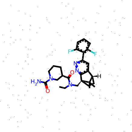 CCN(C[C@@]12CC[C@@H](c3cc(-c4c(F)cccc4F)nnc31)C2(C)C)C(=O)C1CCCN(C(N)=O)C1